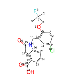 CC(C)(F)COc1ccc(Cl)cc1CN1C(=O)Cc2c(C(=O)O)cccc21